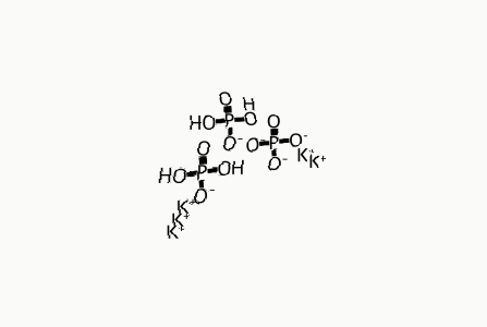 O=P([O-])(O)O.O=P([O-])(O)O.O=P([O-])([O-])[O-].[K+].[K+].[K+].[K+].[K+]